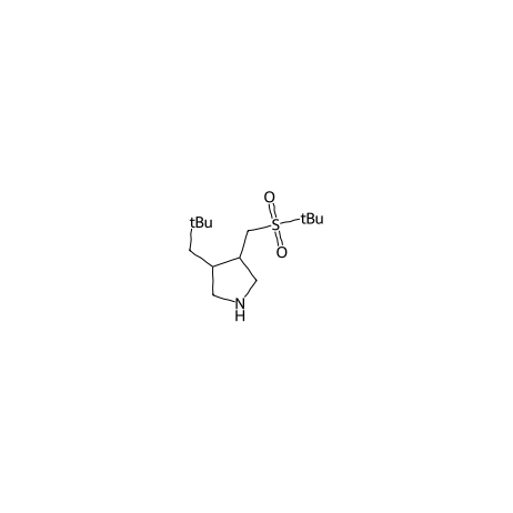 CC(C)(C)CC1CNCC1CS(=O)(=O)C(C)(C)C